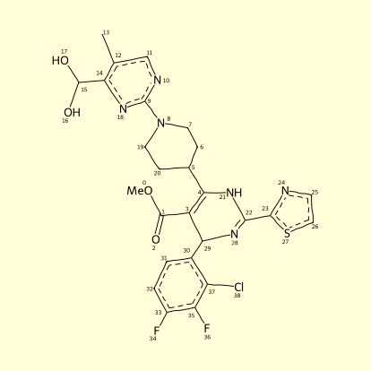 COC(=O)C1=C(C2CCN(c3ncc(C)c(C(O)O)n3)CC2)NC(c2nccs2)=NC1c1ccc(F)c(F)c1Cl